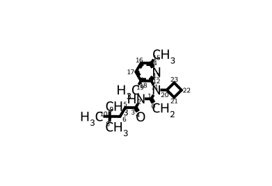 C=C(NC(=O)CCC(C)(C)C)N(c1nc(C)ccc1C)C1CCC1